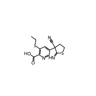 CCSc1cc(C2(C#N)CCSC2=N)cnc1C(=O)O